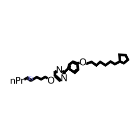 CCC/C=C/CCCOc1cnc(-c2ccc(OCCCCCCCC3CCCC3)cc2)nc1